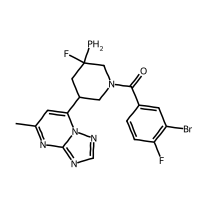 Cc1cc(C2CN(C(=O)c3ccc(F)c(Br)c3)CC(F)(P)C2)n2ncnc2n1